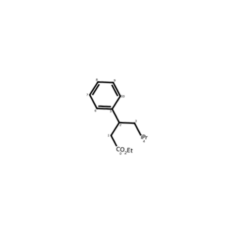 CCOC(=O)CC(CC(C)C)c1ccccc1